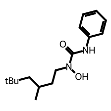 CC(CCN(O)C(=O)Nc1ccccc1)CC(C)(C)C